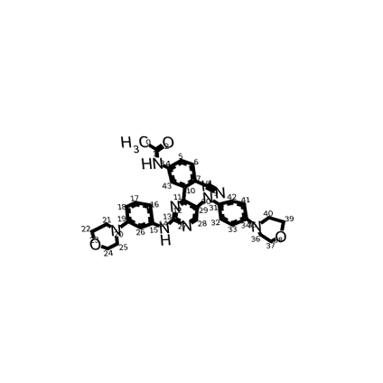 CC(=O)Nc1ccc(C#N)c(-c2nc(Nc3cccc(N4CCOCC4)c3)ncc2Nc2ccc(N3CCOCC3)cc2)c1